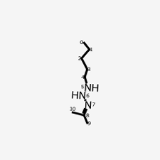 CCCCCNNN=C(C)C